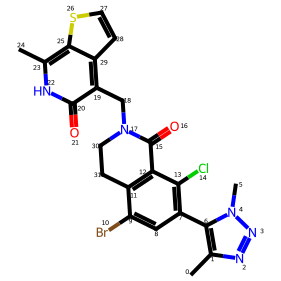 Cc1nnn(C)c1-c1cc(Br)c2c(c1Cl)C(=O)N(Cc1c(=O)[nH]c(C)c3sccc13)CC2